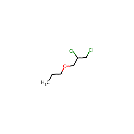 CC[CH]OCC(Cl)CCl